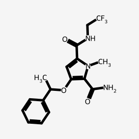 CC(Oc1cc(C(=O)NCC(F)(F)F)n(C)c1C(N)=O)c1ccccc1